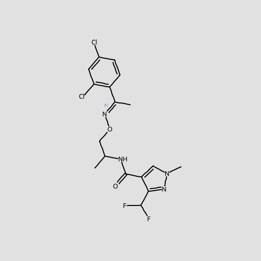 C/C(=N\OCC(C)NC(=O)c1cn(C)nc1C(F)F)c1ccc(Cl)cc1Cl